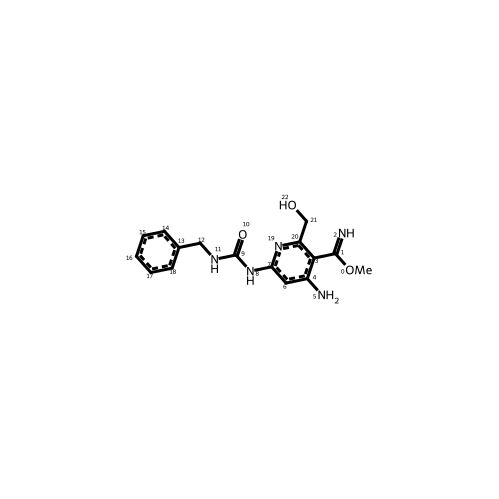 COC(=N)c1c(N)cc(NC(=O)NCc2ccccc2)nc1CO